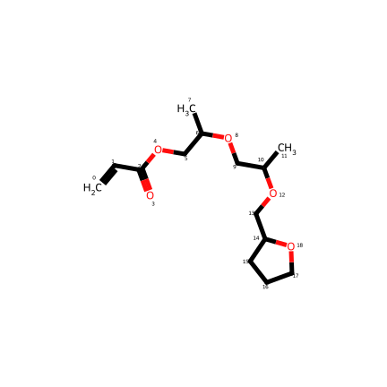 C=CC(=O)OCC(C)OCC(C)OCC1CCCO1